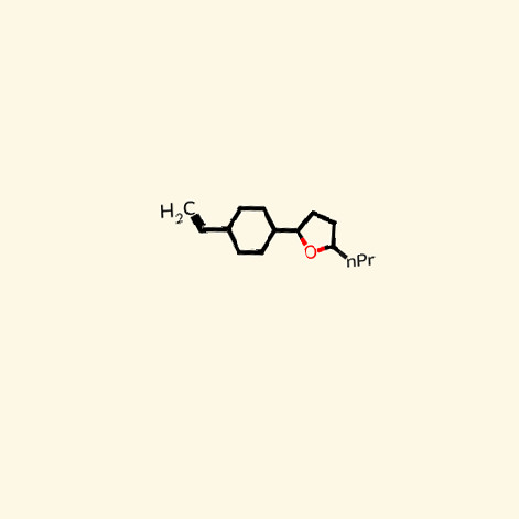 C=CC1CCC(C2CCC(CCC)O2)CC1